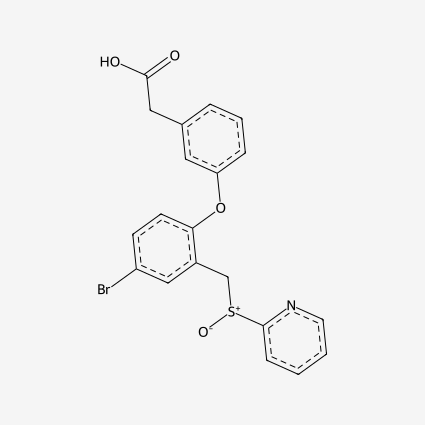 O=C(O)Cc1cccc(Oc2ccc(Br)cc2C[S+]([O-])c2ccccn2)c1